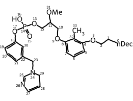 CCCCCCCCCCCCOc1cccc(OCC(COP(=O)(O)Oc2cccc(CN3C=NC=CC3)c2)OC)c1C